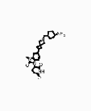 Cn1c(=O)n(C2CCC(=O)NC2=O)c2ccc(C3CC4(C3)CN(CC3CCC(N)CC3)C4)cc21